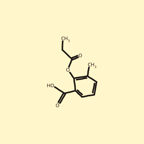 CCC(=O)Oc1c(C)cccc1C(=O)O